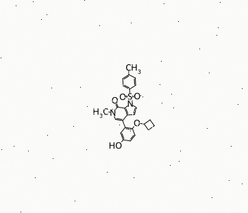 Cc1ccc(S(=O)(=O)n2ccc3c(-c4cc(O)ccc4OC4CCC4)cn(C)c(=O)c32)cc1